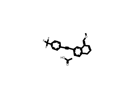 CC(=O)O.COC=C1C=CCc2ccc(C#Cc3ccc(C(F)(F)F)cc3)cc21